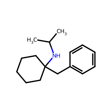 CC(C)NC1(Cc2ccccc2)CCCCC1